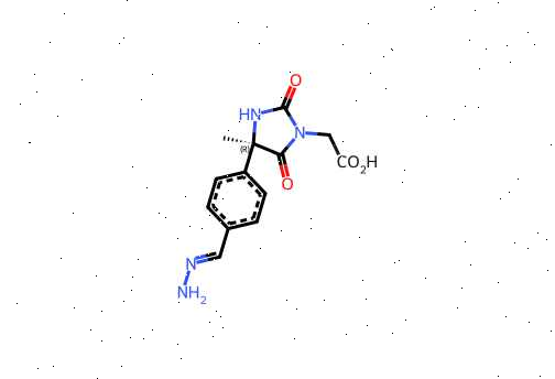 C[C@]1(c2ccc(C=NN)cc2)NC(=O)N(CC(=O)O)C1=O